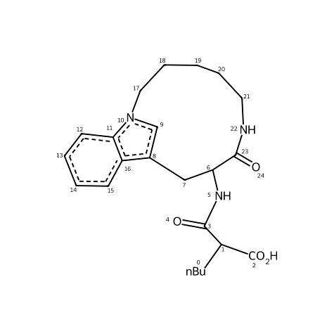 CCCCC(C(=O)O)C(=O)NC1Cc2cn(c3ccccc23)CCCCCNC1=O